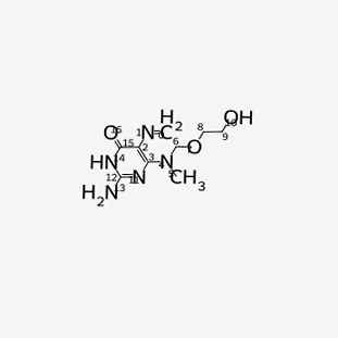 C=Nc1c(N(C)COCCO)nc(N)[nH]c1=O